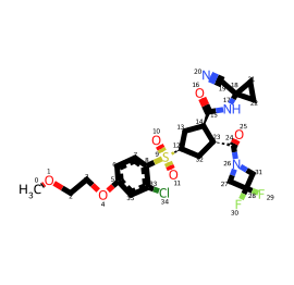 COCCOc1ccc(S(=O)(=O)[C@@H]2C[C@@H](C(=O)NC3(C#N)CC3)[C@H](C(=O)N3CC(F)(F)C3)C2)c(Cl)c1